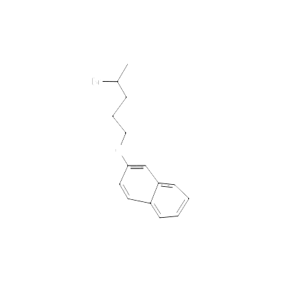 CC(Br)CCCOc1ccc2ccccc2c1